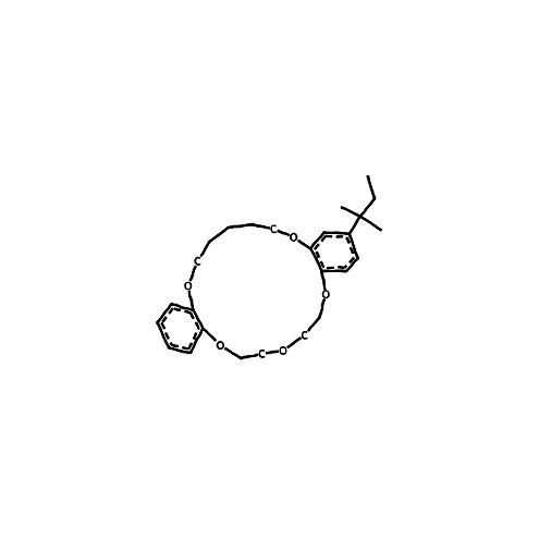 CCC(C)(C)c1ccc2c(c1)OCCCCCOc1ccccc1OCCOCCO2